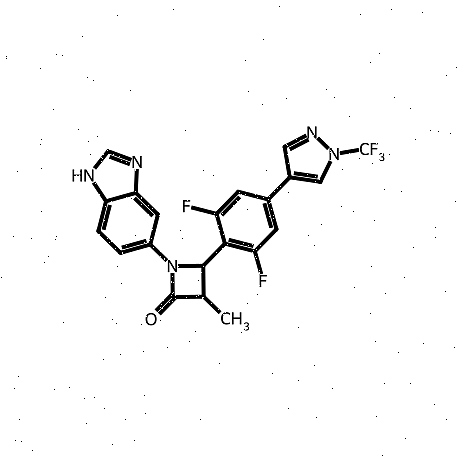 CC1C(=O)N(c2ccc3[nH]cnc3c2)C1c1c(F)cc(-c2cnn(C(F)(F)F)c2)cc1F